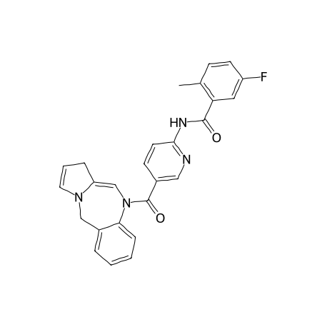 Cc1ccc(F)cc1C(=O)Nc1ccc(C(=O)N2C=C3CC=CN3Cc3ccccc32)cn1